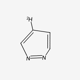 [2H]c1ccnnc1